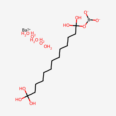 O.O.O.O.O.[Ba+2].[O-]B([O-])OC(O)(O)CCCCCCCCCCCC(O)(O)O